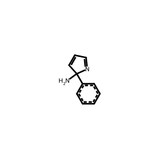 NC1(c2ccccc2)C=CC=N1